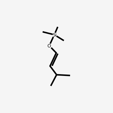 CC(C)C=CO[Si](C)(C)C